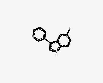 Fc1ccc2[nH]cc(-c3cccnc3)c2c1